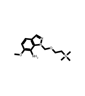 COc1ccc2cnn(COCC[Si](C)(C)C)c2c1N